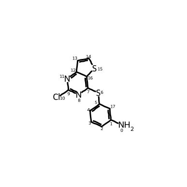 Nc1cccc(Sc2nc(Cl)nc3ccsc23)c1